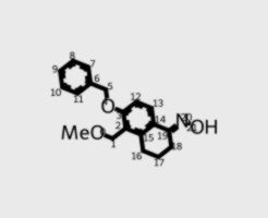 COCc1c(OCc2ccccc2)ccc2c1CCCC2=NO